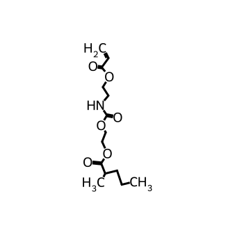 C=CC(=O)OCCNC(=O)OCCOC(=O)C(C)CCC